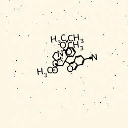 COC(=O)CC(c1ccccc1)(c1occ2cc(C#N)ccc12)[C@@H]1CCCN1C(=O)OC(C)(C)C